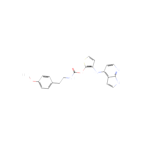 COc1ccc(CCNC(=O)Oc2sccc2Nc2ccnc3[nH]ccc23)cc1